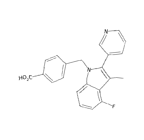 Cc1c(-c2cccnc2)n(Cc2ccc(C(=O)O)cc2)c2cccc(F)c12